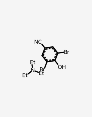 CCN(CC)CC.N#Cc1cc(Br)c(O)c(Br)c1